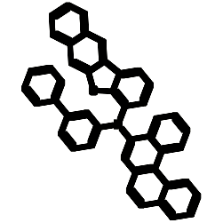 c1ccc(-c2cccc(N(c3cc4ccc5ccccc5c4c4ccccc34)c3cccc4c3oc3cc5ccccc5cc34)c2)cc1